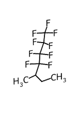 CCC(C)C(F)(F)C(F)(F)C(F)(F)C(F)(F)F